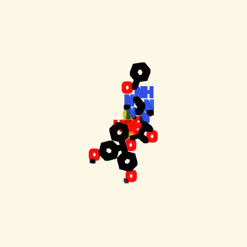 COc1ccc(C(OC[C@]23COC(C2O[PH](O)=S)[C@H](n2cnc4c(NC(=O)c5ccccc5)ncnc42)O3)(c2ccccc2)c2ccc(OC)cc2)cc1